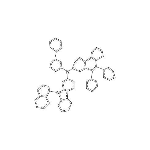 c1ccc(-c2cccc(N(c3ccc4c(c3)c(-c3ccccc3)c(-c3ccccc3)c3ccccc34)c3ccc4c5ccccc5n(-c5cccc6ccccc56)c4c3)c2)cc1